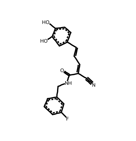 N#CC(=CC=Cc1ccc(O)c(O)c1)C(=O)NCc1cccc(F)c1